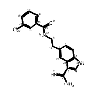 N=C(N)c1c[nH]c2ccc(CCNC(=O)c3cccc(Cl)c3)cc12